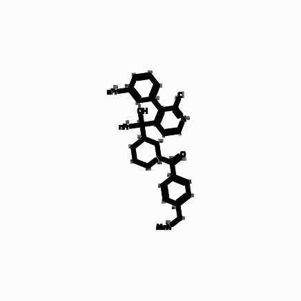 [CH2]CCC(O)(c1ccnc(Cl)c1-c1cccc(CCC)c1)C1CCCN(C(=O)c2ccc(CNC)cc2)C1